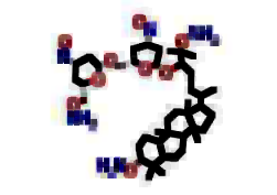 CC(CCC(O[C@H]1C[C@@H](N=O)C[C@@H](CO[C@H]2C[C@@H](N=O)C[C@@H](CON)O2)O1)C(C)(C)ON)C1CCC2(C)C3CC=C4C(CC[C@H](ON)C4(C)C)C3(C)CCC12C